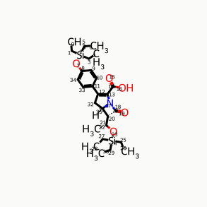 CC[Si](CC)(CC)Oc1ccc(C2=C(C(=O)O)N3C(=O)[C@H]([C@@H](C)O[Si](CC)(CC)CC)[C@H]3C2)cc1